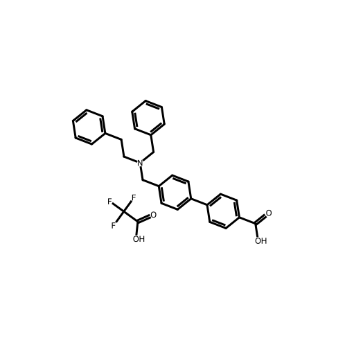 O=C(O)C(F)(F)F.O=C(O)c1ccc(-c2ccc(CN(CCc3ccccc3)Cc3ccccc3)cc2)cc1